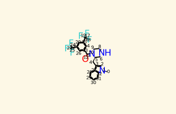 Cn1cc(C[C@@H]2CNCCN2C(=O)c2cc(C(F)(F)F)cc(C(F)(F)F)c2)c2ccccc21